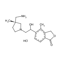 Cc1c(C(O)CN2CC[C@](C)(CN)C2)ccc2c1COC2=O.Cl